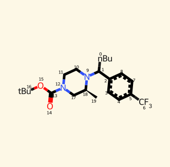 CCCCC(c1ccc(C(F)(F)F)cc1)N1CCN(C(=O)OC(C)(C)C)C[C@@H]1C